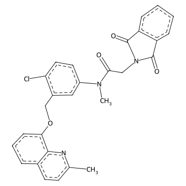 Cc1ccc2cccc(OCc3cc(N(C)C(=O)CN4C(=O)c5ccccc5C4=O)ccc3Cl)c2n1